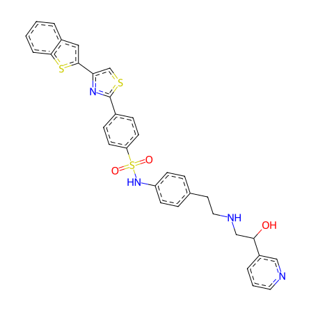 O=S(=O)(Nc1ccc(CCNCC(O)c2cccnc2)cc1)c1ccc(-c2nc(-c3cc4ccccc4s3)cs2)cc1